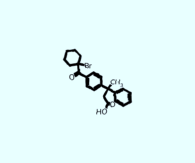 CC(CC(=O)O)(c1ccccc1)c1ccc(C(=O)C2(Br)CCCCC2)cc1